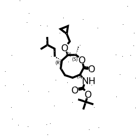 CC(C)CC[C@H]1CCC[C@H](NC(=O)OC(C)(C)C)C(=O)O[C@@H](C)[C@@H]1OCC1CC1